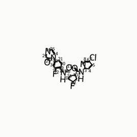 O=C(Nc1ccc(Cl)cn1)[C@H]1C[C@H](F)C[C@@H]1C(=O)Nc1ccc(-n2ccncc2=O)cc1F